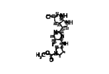 COC(=O)N1CC[C@H](Nc2nc(C3=CNC4NC=C(Cl)CC34)ncc2F)C1